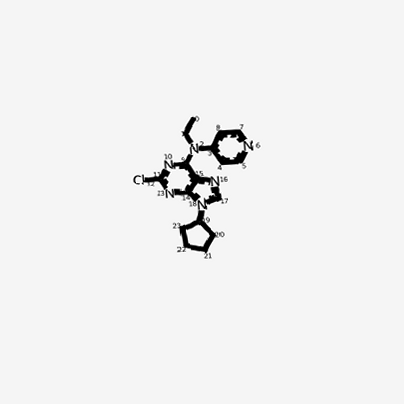 CCN(c1ccncc1)c1nc(Cl)nc2c1ncn2C1CCCC1